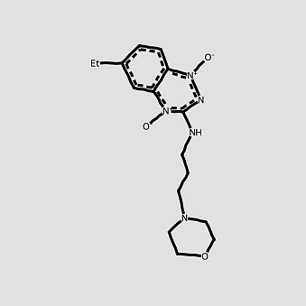 CCc1ccc2c(c1)[n+]([O-])c(NCCCN1CCOCC1)n[n+]2[O-]